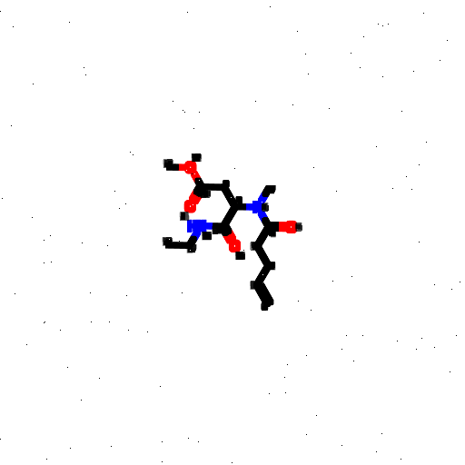 C=CCCC(=O)N(C)C(CC(=O)OC)C(=O)NCC